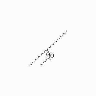 CCCCCCCCCCCCCC(CCCCCCCCCCC)COC(=O)C(C)CCCCC